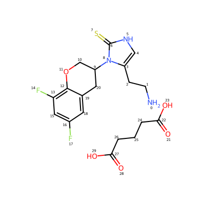 NCCc1c[nH]c(=S)n1C1COc2c(F)cc(F)cc2C1.O=C(O)CCCC(=O)O